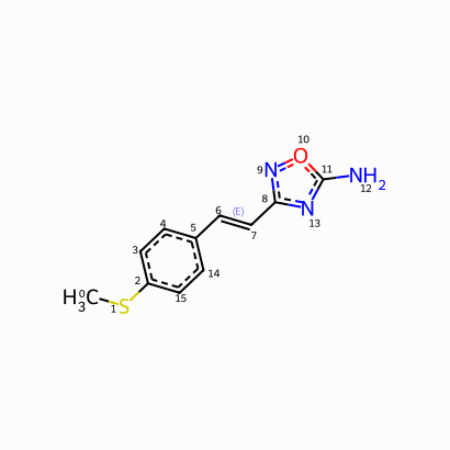 CSc1ccc(/C=C/c2noc(N)n2)cc1